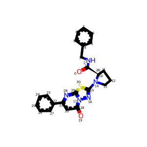 O=C(NCc1ccccc1)[C@H]1CCCN1c1nn2c(=O)cc(-c3ccccc3)nc2s1